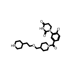 O=C1CCN(c2cc(C(=O)N3CCC(COCCC4CCNCC4)CC3)ccc2Cl)C(=O)N1